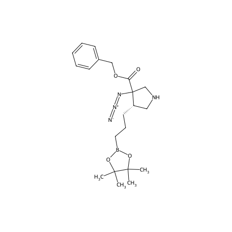 CC1(C)OB(CCC[C@H]2CNCC2(N=[N+]=[N-])C(=O)OCc2ccccc2)OC1(C)C